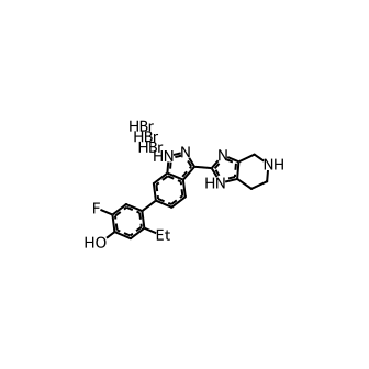 Br.Br.Br.CCc1cc(O)c(F)cc1-c1ccc2c(-c3nc4c([nH]3)CCNC4)n[nH]c2c1